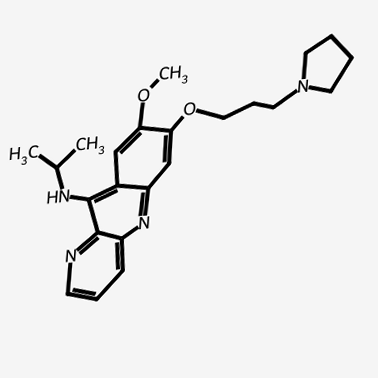 COc1cc2c(NC(C)C)c3ncccc3nc2cc1OCCCN1CCCC1